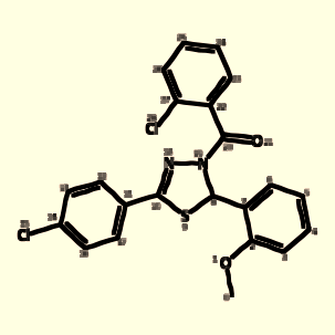 COc1ccccc1C1SC(c2ccc(Cl)cc2)=NN1C(=O)c1ccccc1Cl